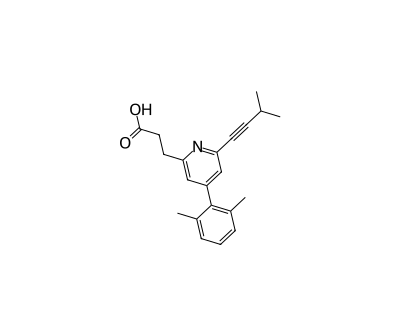 Cc1cccc(C)c1-c1cc(C#CC(C)C)nc(CCC(=O)O)c1